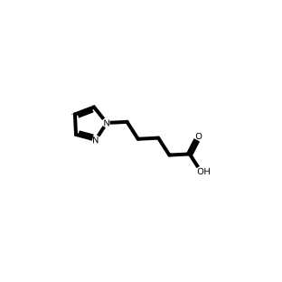 O=C(O)CCCCn1c[c]cn1